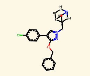 Clc1ccc(-c2cn(CB3BN4BBB3BB4)nc2OCc2ccccc2)cc1